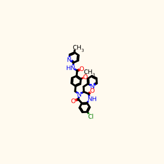 COc1cc(CN2C(=O)c3ccc(Cl)cc3NC(=O)C2Cc2ccccn2)ccc1C(=O)Nc1ccc(C)cn1